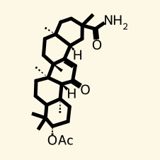 CC(=O)O[C@H]1CC[C@@]2(C)C(CC[C@]3(C)[C@@H]2C(=O)C=C2[C@@H]4CC(C)(C(N)=O)CC[C@]4(C)CC[C@]23C)C1(C)C